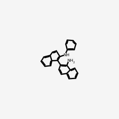 Nc1c(-c2c(Nc3ccccc3)ccc3ccccc23)ccc2ccccc12